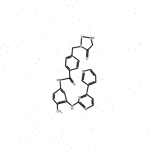 Cc1ccc(NC(=O)c2ccc(CN3SNCC3=O)cc2)cc1Nc1nccc(-c2cccnc2)n1